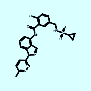 Cc1ccc(-n2ncc3c(NC(=O)c4cc(CNS(=O)(=O)C5CC5)ccc4Cl)cccc32)nn1